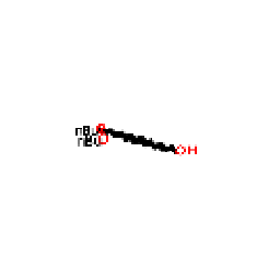 CCCCOC(CCCCCCCCCC/C=C/CCO)OCCCC